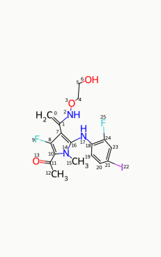 C=C(NOCCO)c1c(F)c(C(C)=O)n(C)c1Nc1ccc(I)cc1F